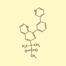 CC(C)(c1cc(-c2cccc(-c3cccnc3)c2)c2ncccc2c1)S(C)(=O)=O